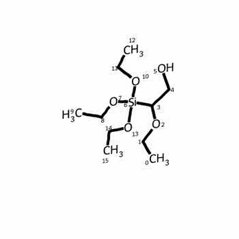 CCOC(CO)[Si](OCC)(OCC)OCC